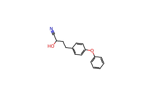 N#CC(O)CCc1ccc(Oc2ccccc2)cc1